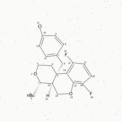 CCCC[C@@H]1OCC[C@@]2(Cc3ccc(Cl)cc3)c3c(F)ccc(F)c3OC[C@@H]12